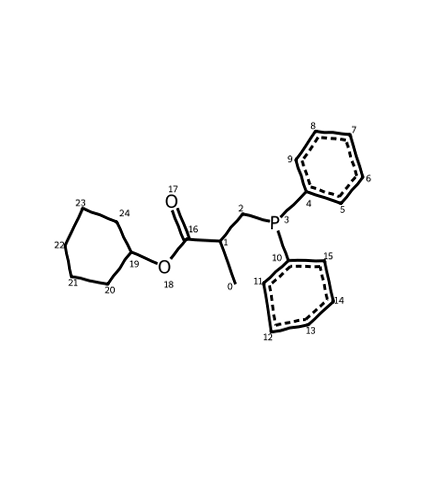 CC(CP(c1ccccc1)c1ccccc1)C(=O)OC1CCCCC1